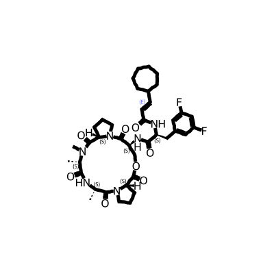 C[C@@H]1NC(=O)[C@H](C)N(C)C(=O)[C@@H]2CCCN2C(=O)[C@@H](NC(=O)[C@H](Cc2cc(F)cc(F)c2)NC(=O)/C=C/C2CCCCCC2)COC(=O)[C@@H]2CCCN2C1=O